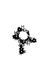 O=C(N[C@H]1CCCCOCCNc2ccccc2NC(=O)C(=O)C(CC2CCC2)NC(=O)[C@@H]2C[C@@H](OC(=O)N3Cc4cccc(F)c4C3)CN2C1=O)OC1CCCC1